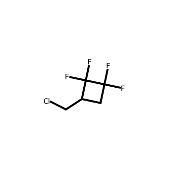 FC1(F)CC(CCl)C1(F)F